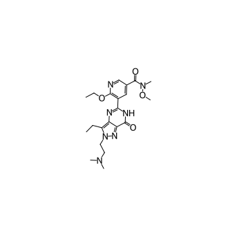 CCOc1ncc(C(=O)N(C)OC)cc1-c1nc2c(CC)n(CCN(C)C)nc2c(=O)[nH]1